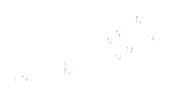 NCCCNC(=O)c1ccc(-c2nnc(-c3ncccn3)nn2)cc1